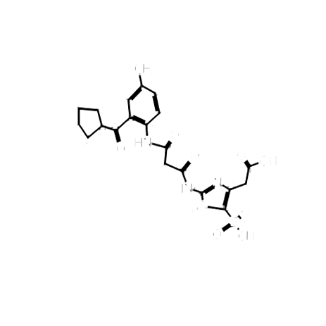 Cc1ccc(NC(=O)CC(=O)Nc2nc(CC(=O)O)c(S(C)(=O)=O)s2)c(C(=O)C2CCCC2)c1